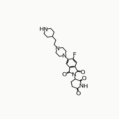 O=C1CCC(N2C(=O)c3cc(F)c(N4CCN(CCC5CCNCC5)CC4)cc3C2=O)C(=O)N1